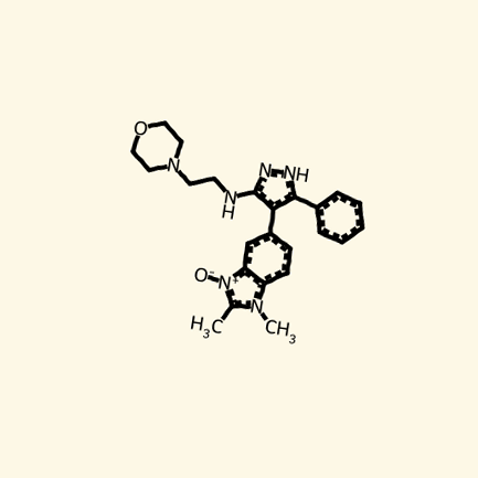 Cc1n(C)c2ccc(-c3c(NCCN4CCOCC4)n[nH]c3-c3ccccc3)cc2[n+]1[O-]